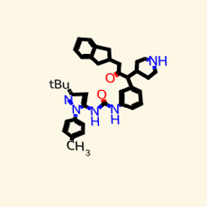 Cc1ccc(-n2nc(C(C)(C)C)cc2NC(=O)Nc2cccc(C(C(=O)CC3Cc4ccccc4C3)C3CCNCC3)c2)cc1